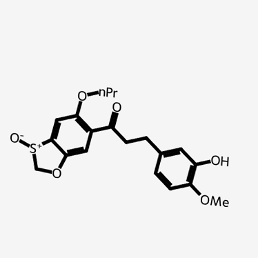 CCCOc1cc2c(cc1C(=O)CCc1ccc(OC)c(O)c1)OC[S+]2[O-]